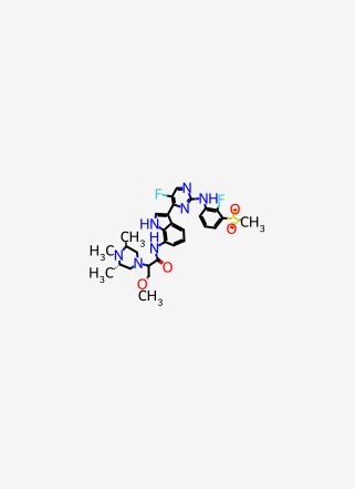 COCC(C(=O)Nc1cccc2c(-c3nc(Nc4cccc(S(C)(=O)=O)c4F)ncc3F)c[nH]c12)N1C[C@H](C)N(C)[C@@H](C)C1